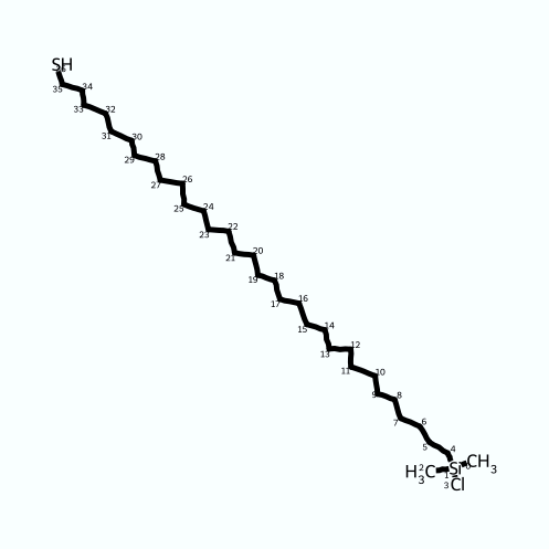 C[Si](C)(Cl)CCCCCCCCCCCCCCCCCCCCCCCCCCCCCCCCS